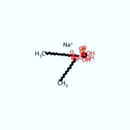 CCCCCCCCCCCCCCCC(=O)OCC(CO[C@H]1O[C@H](CS(=O)(=O)[O-])[C@H](O)[C@H](O)[C@H]1O)OC(=O)CCCCCCCCCCCCCCC.[Na+]